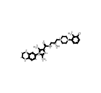 Cc1c(Cl)cccc1N1CCN(C[C@H](O)CNC(=O)c2nc(C)n(-c3ccc4c(c3)OCCO4)c2C)CC1